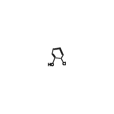 OC1=CC=C=CC1Cl